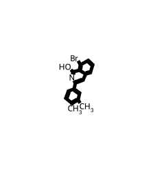 Cc1ccc(-c2cc3cccc(Br)c3c(O)n2)cc1C